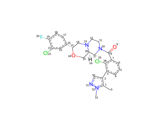 Cc1c(-c2cccc(C(=O)N3CCN4C[C@@H](c5ccc(F)c(Cl)c5)OC[C@@H]4C3)c2Cl)cnn1C